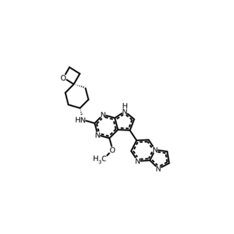 COc1nc(N[C@H]2CC[C@]3(CCO3)CC2)nc2[nH]cc(-c3cnc4nccn4c3)c12